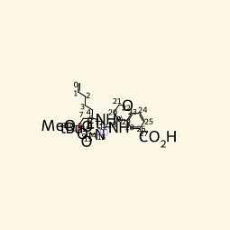 C=CCCCC(CC)(CC(=O)OC)N/C(=N\C(=O)OC(C)(C)C)N[C@@H]1CCOc2ccc(C(=O)O)cc21